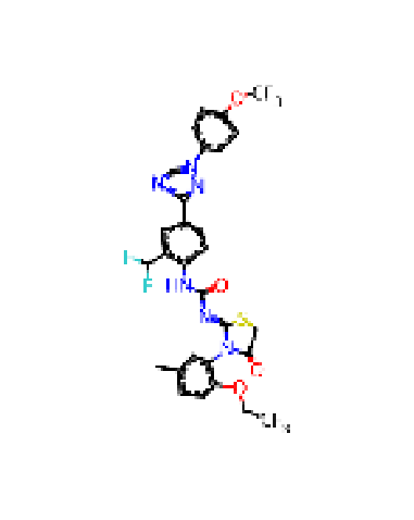 Cc1ccc(OCC(F)(F)F)c(N2C(=O)CSC2=NC(=O)Nc2ccc(-c3ncn(-c4ccc(OC(F)(F)F)cc4)n3)cc2C(F)F)c1